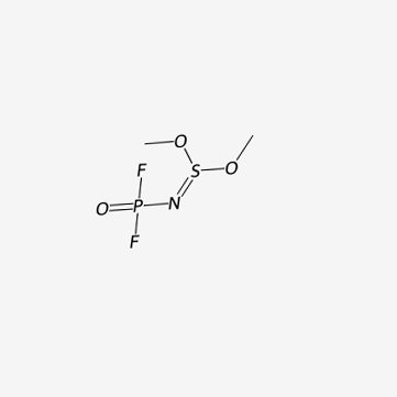 COS(=NP(=O)(F)F)OC